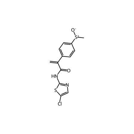 C=C(C(=O)Nc1ncc(Cl)s1)c1ccc([S+](C)[O-])cc1